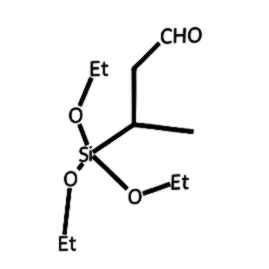 CCO[Si](OCC)(OCC)C(C)CC=O